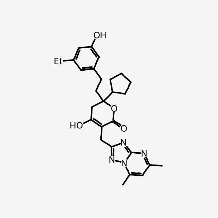 CCc1cc(O)cc(CCC2(C3CCCC3)CC(O)=C(Cc3nc4nc(C)cc(C)n4n3)C(=O)O2)c1